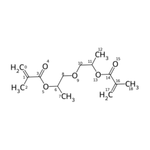 C=C(C)C(=O)OC(C)COCC(C)OC(=O)C(=C)C